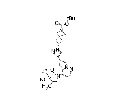 C[C@@H]1CN(c2ccnn3cc(-c4cnn(C5CC6(C5)CN(C(=O)OC(C)(C)C)C6)c4)cc23)C(=O)[C@]1(C#N)C1CC1